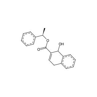 C[C@@H](OC(=O)C1=CCc2ccccc2C1O)c1ccccc1